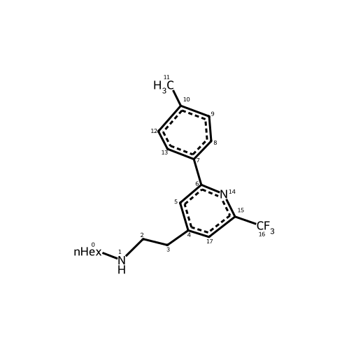 CCCCCCNCCc1cc(-c2ccc(C)cc2)nc(C(F)(F)F)c1